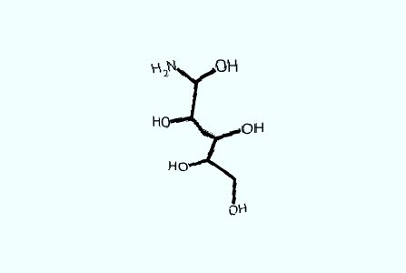 NC(O)C(O)C(O)C(O)CO